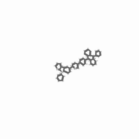 c1ccc(-c2c3ccccc3c(-c3ccc(-c4ccc(-c5ccc6c(c5)c5cccnc5n6-c5ccccc5)nc4)cc3)c3ccccc23)cc1